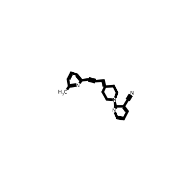 Cc1cccc(C#CC=C2CCN(c3ncccc3C#N)CC2)n1